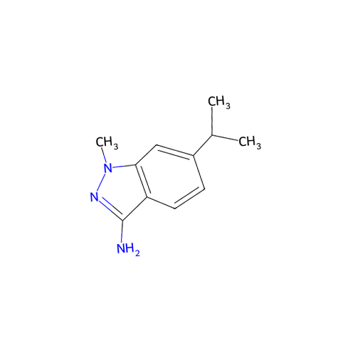 CC(C)c1ccc2c(N)nn(C)c2c1